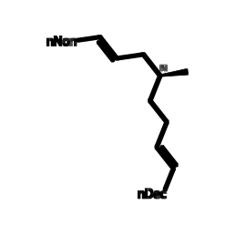 CCCCCCCCCC=CC[C@@H](C)CCC=CCCCCCCCCCC